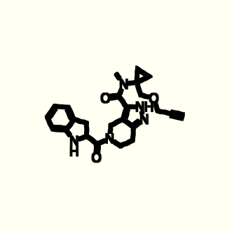 C#CCOCC1(N(C)C(=O)c2[nH]nc3c2CN(C(=O)C2Cc4ccccc4N2)CC3)CC1